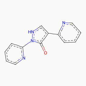 O=c1c(-c2ccccn2)c[nH]n1-c1ccccn1